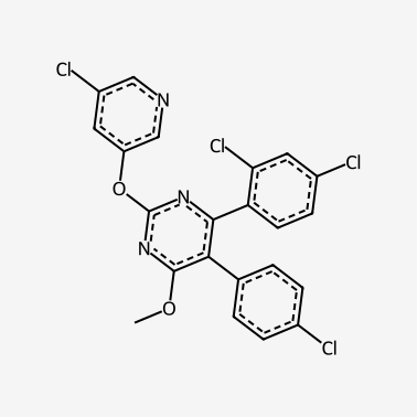 COc1nc(Oc2cncc(Cl)c2)nc(-c2ccc(Cl)cc2Cl)c1-c1ccc(Cl)cc1